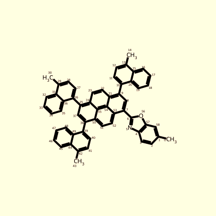 Cc1ccc2nc(-c3cc(-c4ccc(C)c5ccccc45)c4ccc5c(-c6ccc(C)c7ccccc67)cc(-c6ccc(C)c7ccccc67)c6ccc3c4c65)oc2c1